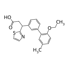 CCOc1ccc(C)cc1-c1cccc(C(CC(=O)O)c2nccs2)c1